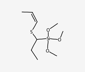 C/C=C\SC(CC)[Si](OC)(OC)OC